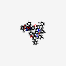 Cc1cc(C)c(N2c3cc4c(cc3B3c5ccccc5Oc5cc(-c6c(C)cccc6C)cc2c53)B2c3cc5c(cc3Oc3cc(-c6c(C)cccc6C)cc(c32)N4c2c(C)cc(C)cc2C)N(c2ccccc2)c2cc(-c3c(C)cccc3C)cc3c2B5c2cccc4c5ccccc5n-3c24)c(C)c1